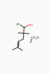 CC(=O)O.CC(C)=CCC(C)(C)C(O)C(C)C